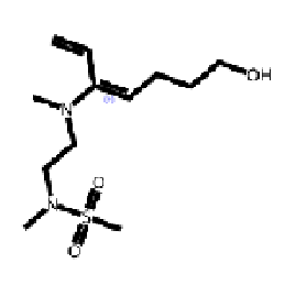 C=C/C(=C\CCCO)N(C)CCN(C)S(C)(=O)=O